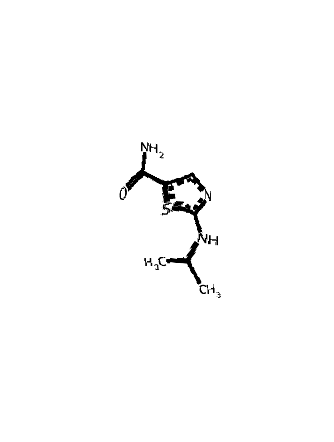 CC(C)Nc1ncc(C(N)=O)s1